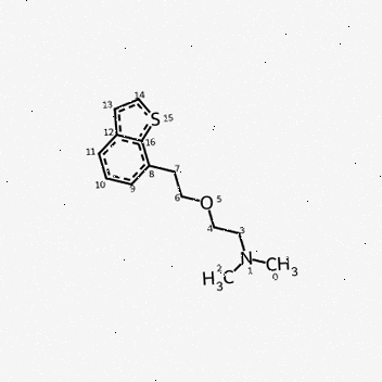 CN(C)CCOCCc1cccc2ccsc12